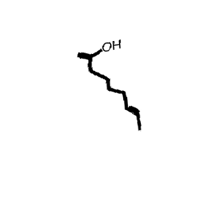 C=C(O)CCCCC=CC